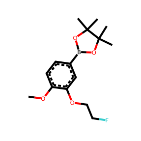 COc1ccc(B2OC(C)(C)C(C)(C)O2)cc1OCCF